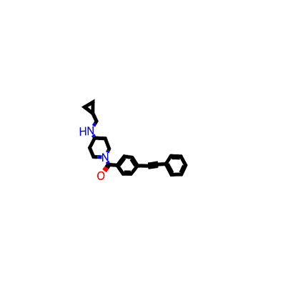 O=C(c1ccc(C#Cc2ccccc2)cc1)N1CCC(NCC2CC2)CC1